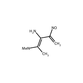 C=C(N=O)/C(N)=C(\C)NC